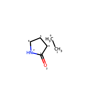 CC.O=C1CCCN1